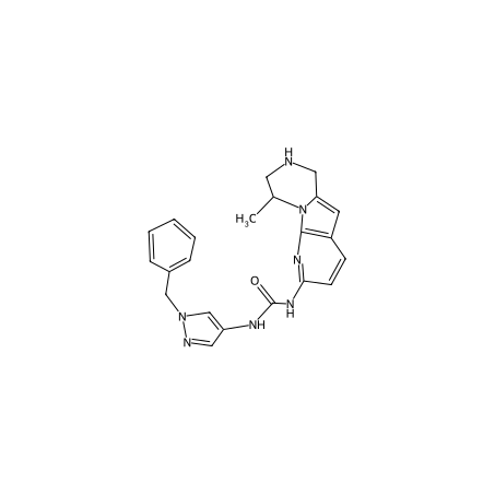 CC1CNCc2cc3ccc(NC(=O)Nc4cnn(Cc5ccccc5)c4)nc3n21